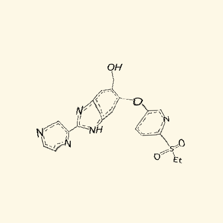 CCS(=O)(=O)c1ccc(Oc2cc3[nH]c(-c4cnccn4)nc3cc2CO)cn1